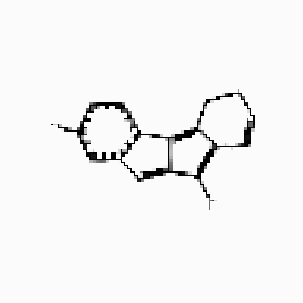 FC1=C2C=CCCC2=C2C1=Cc1cc(F)ccc12